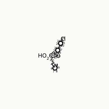 O=C(O)C(CSCc1ccccn1)CS(=O)(=O)c1ccc(-c2ccc(Cl)cc2)cc1